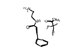 NCCNC(=O)C=CC1C=CC=CC1.O=C(O)C(F)(F)F